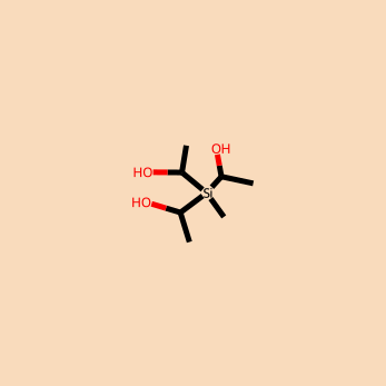 CC(O)[Si](C)(C(C)O)C(C)O